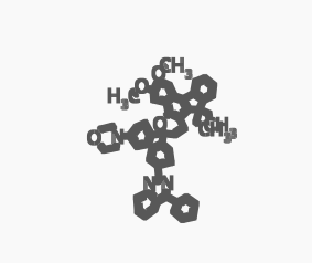 CCC1(CC)c2ccccc2-c2c1c1c(c3cc(OC)c(OC)cc23)OC(c2ccc(-c3nc(-c4ccccc4)c4ccccc4n3)cc2)(c2ccc(N3CCOCC3)cc2)C=C1